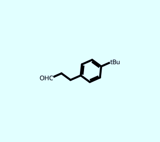 CC(C)(C)c1ccc(CCC=O)cc1